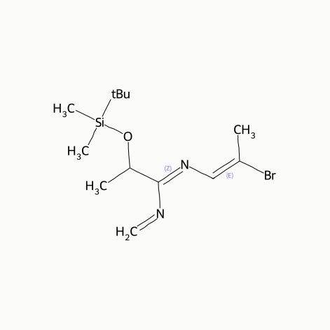 C=N/C(=N\C=C(/C)Br)C(C)O[Si](C)(C)C(C)(C)C